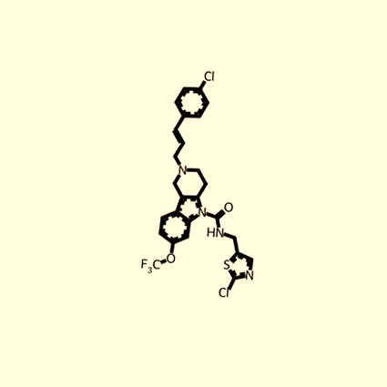 O=C(NCc1cnc(Cl)s1)n1c2c(c3ccc(OC(F)(F)F)cc31)CN(C/C=C/c1ccc(Cl)cc1)CC2